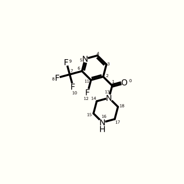 O=C(c1ccnc(C(F)(F)F)c1F)N1CCNCC1